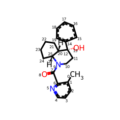 Cc1cccnc1C(=O)N1CC[C@](O)(c2ccccc2)[C@H]2CCCC[C@H]21